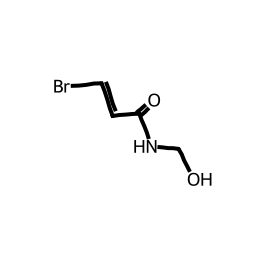 O=C(C=CBr)NCO